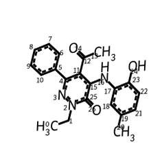 CCn1nc(-c2ccccc2)c(C(C)=O)c(Nc2cc(C)ccc2O)c1=O